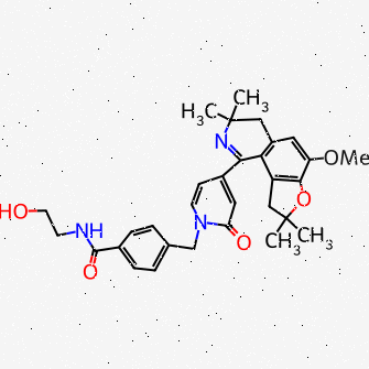 COc1cc2c(c3c1OC(C)(C)C3)C(c1ccn(Cc3ccc(C(=O)NCCO)cc3)c(=O)c1)=NC(C)(C)C2